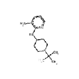 CC(C)(C)N1CCC(Nc2ncccc2N)CC1